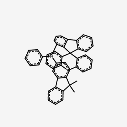 CC1(C)c2ccccc2-c2cc(N(c3ccccc3)c3cccc4c3C3(c5ccccc5Sc5ccccc53)c3ccccc3-4)ccc21